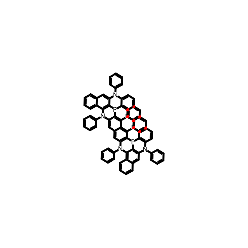 c1ccc(-n2c3cccc4c3p3c5c2cc2ccccc2c5n(-c2ccccc2)c2cc5cc6c7c(c5c(c23)n4-c2ccccc2)n(-c2ccccc2)c2cccc3c2p7c2c(cc4ccccc4c2n6-c2ccccc2)n3-c2ccccc2)cc1